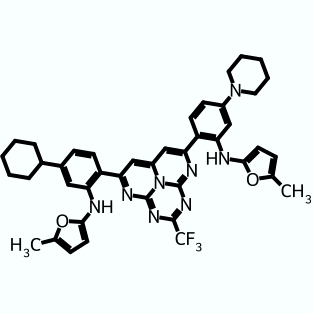 Cc1ccc(Nc2cc(N3CCCCC3)ccc2C2=CC3=CC(c4ccc(C5CCCCC5)cc4Nc4ccc(C)o4)=NC4=NC(C(F)(F)F)=NC(=N2)N34)o1